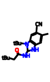 Cc1cc2c(cc1C#N)N(C(C)(C)C)C(NC(=O)CC(C)(C)C)N2